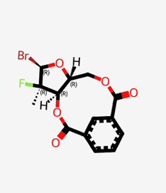 C[C@@]1(F)[C@@H]2OC(=O)c3cccc(c3)C(=O)OC[C@H]2O[C@@H]1Br